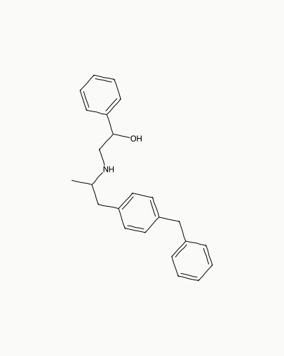 CC(Cc1ccc(Cc2ccccc2)cc1)NCC(O)c1ccccc1